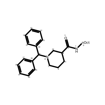 CCCCCCCCNC(=O)C1CCCN(C(c2ccccc2)c2ccccc2)C1